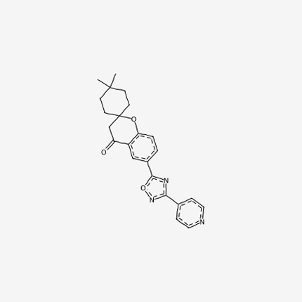 CC1(C)CCC2(CC1)CC(=O)c1cc(-c3nc(-c4ccncc4)no3)ccc1O2